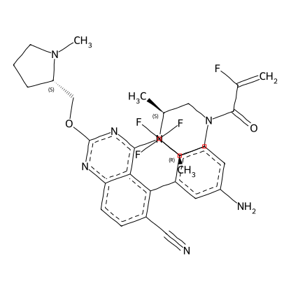 C=C(F)C(=O)N1C[C@@H](C)N(c2nc(OC[C@@H]3CCCN3C)nc3ccc(C#N)c(-c4cc(N)ccc4C(F)(F)F)c23)[C@@H](C)C1